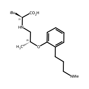 CCC(C)[C@H](NC[C@@H](C)Oc1ccccc1CCCNC)C(=O)O